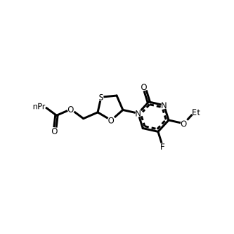 CCCC(=O)OCC1OC(n2cc(F)c(OCC)nc2=O)CS1